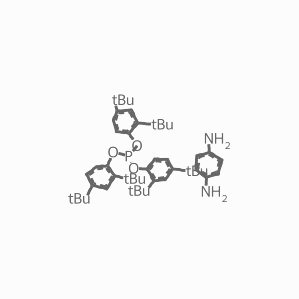 CC(C)(C)c1ccc(OP(Oc2ccc(C(C)(C)C)cc2C(C)(C)C)Oc2ccc(C(C)(C)C)cc2C(C)(C)C)c(C(C)(C)C)c1.Nc1ccc(N)cc1